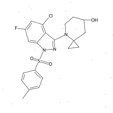 Cc1ccc(S(=O)(=O)n2nc(N3CCC(O)CC34CC4)c3c(Cl)cc(F)cc32)cc1